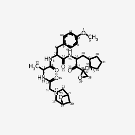 COc1ccc(CC(NC(=O)C(C)NC(=O)CN2CC3CC(C2)O3)C(=O)NC(CC2CCCC2)C(=O)C2(C)CO2)cc1